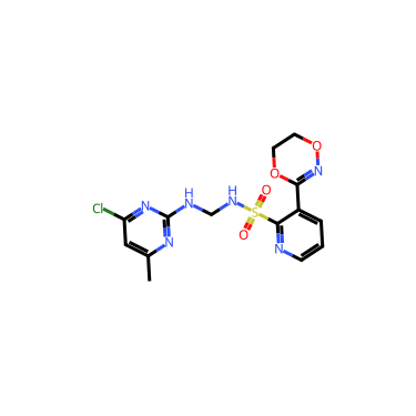 Cc1cc(Cl)nc(NCNS(=O)(=O)c2ncccc2C2=NOCCO2)n1